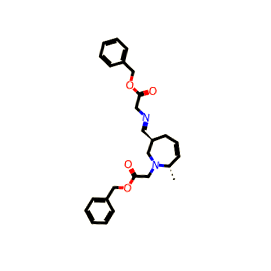 C[C@H]1C=CC[C@H](/C=N/CC(=O)OCc2ccccc2)CN1CC(=O)OCc1ccccc1